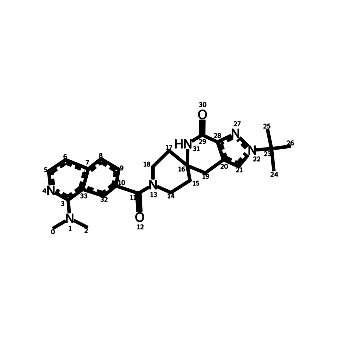 CN(C)c1nccc2ccc(C(=O)N3CCC4(CC3)Cc3cn(C(C)(C)C)nc3C(=O)N4)cc12